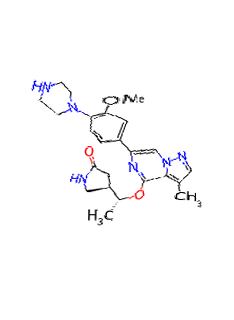 COc1cc(-c2cn3ncc(C)c3c(O[C@H](C)[C@H]3CNC(=O)C3)n2)ccc1N1CCNCC1